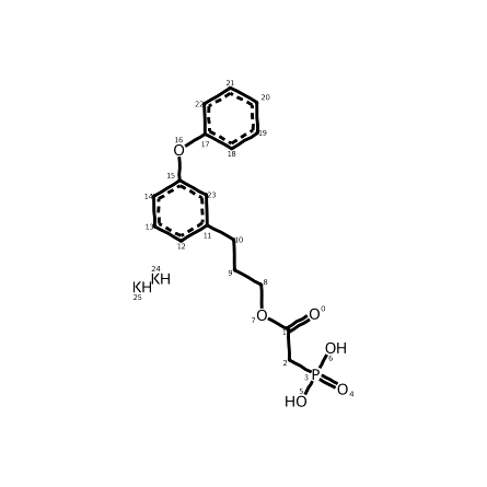 O=C(CP(=O)(O)O)OCCCc1cccc(Oc2ccccc2)c1.[KH].[KH]